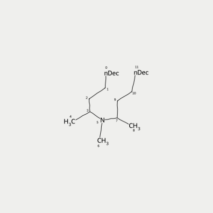 CCCCCCCCCCCCC(C)N(C)C(C)CCCCCCCCCCCC